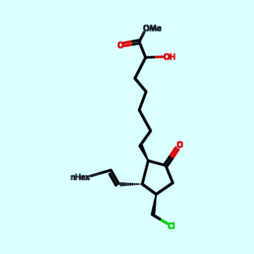 CCCCCCC=C[C@H]1[C@H](CCl)CC(=O)[C@@H]1CCCCCC(O)C(=O)OC